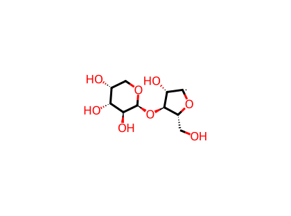 OC[C@H]1O[CH][C@@H](O)[C@@H]1O[C@@H]1OC[C@@H](O)[C@@H](O)[C@@H]1O